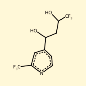 OC(CC(O)C(F)(F)F)c1ccnc(C(F)(F)F)c1